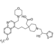 COc1ccc2ncc(CN3CCOCC3)c(CCCC3(CC(=O)O)CCN(CC(S)c4cccs4)CC3)c2c1